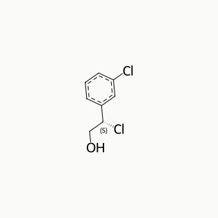 OC[C@@H](Cl)c1cccc(Cl)c1